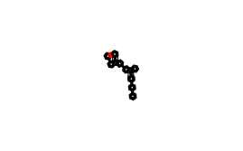 c1ccc(-c2ccc(-c3ccc(-n4c5ccccc5c5cc(-c6ccc7c(c6)c6cccc(-c8ccccc8)c6n7-c6ccccc6)ccc54)cc3)cc2)cc1